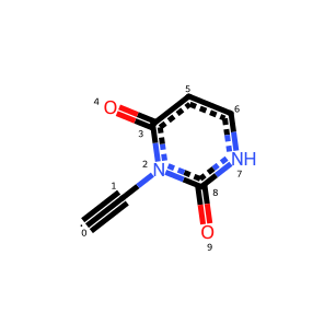 [C]#Cn1c(=O)cc[nH]c1=O